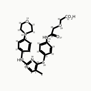 Cc1cnc(Nc2ccc(N3CCOCC3)cc2)nc1Sc1ccc(NC(=O)COCC(=O)O)cc1